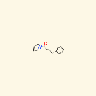 O=C(CCCc1ccccc1)N1CC=CC1